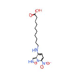 O=C(O)CCCCCCCCCNC1=CC=C([N+](=O)[O-])N2ONC=C12